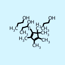 CC1=C(C)C(C)(C)[C]([Ti])=C1C.CCCO.CCCO.CCCO